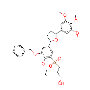 CCCOc1c(OCc2ccccc2)cc(C2CCC(c3cc(OC)c(OC)c(OC)c3)O2)cc1S(=O)(=O)CCCO